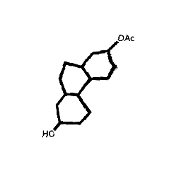 CC(=O)OC1CCC2C(CCC3CC(O)CCC32)C1